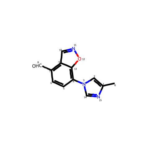 Cc1cn(-c2ccc(C=O)c3cnoc23)cn1